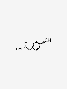 C#Cc1ccc(CNCCC)cc1